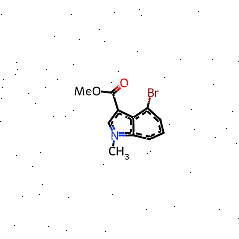 COC(=O)c1cn(C)c2cccc(Br)c12